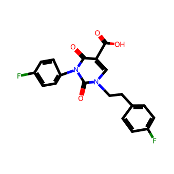 O=C(O)c1cn(CCc2ccc(F)cc2)c(=O)n(-c2ccc(F)cc2)c1=O